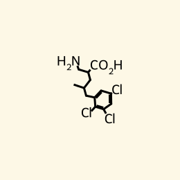 CC(Cc1cc(Cl)cc(Cl)c1Cl)CC(CN)C(=O)O